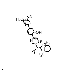 Cn1nc(-c2ccc(-c3ncc(N(C4CC4)[C@H]4C[C@]5(C)CCC[C@@](C)(N5)[C@H]4F)nn3)c(O)c2)nc1C#N